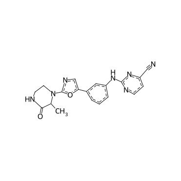 CC1C(=O)NCCN1c1ncc(-c2cccc(Nc3nccc(C#N)n3)c2)o1